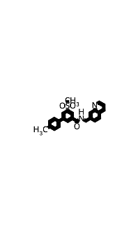 Cc1ccc(-c2cc(C(=O)NCc3ccc4cccnc4c3)cc(S(C)(=O)=O)c2)cc1